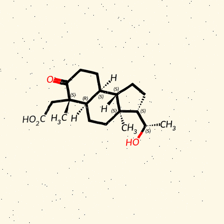 C[C@H](O)[C@H]1CC[C@H]2[C@@H]3CCC(=O)[C@@](C)(CC(=O)O)[C@@H]3CC[C@]12C